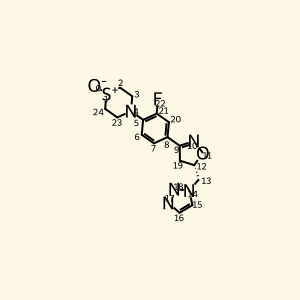 [O-][S+]1CCN(c2ccc(C3=NO[C@H](Cn4ccnn4)C3)cc2F)CC1